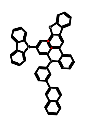 c1cc(-c2ccc3ccccc3c2)cc(N(c2cccc(-n3c4ccccc4c4ccccc43)c2)c2ccccc2-c2ccc3oc4ccccc4c3c2)c1